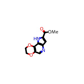 COC(=O)c1cc2ncc3c(c2[nH]1)OCCO3